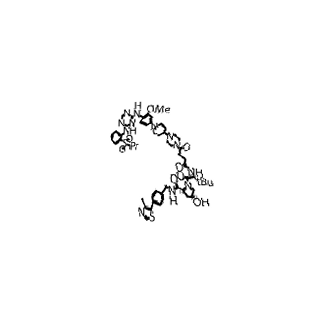 COc1cc(N2CCC(N3CCN(C(=O)CCC(=O)N[C@H](C(=O)N4C[C@H](O)C[C@H]4C(=O)NCc4ccc(-c5scnc5C)cc4)C(C)(C)C)CC3)CC2)ccc1Nc1ncnc(Nc2ccccc2S(=O)(=O)C(C)C)n1